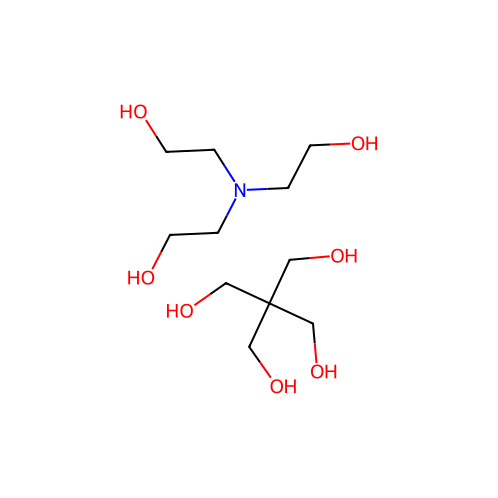 OCC(CO)(CO)CO.OCCN(CCO)CCO